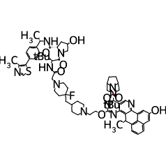 Cc1ncsc1-c1ccc([C@H](C)NC(=O)[C@@H]2C[C@@H](O)CN2C(=O)[C@@H](NC(=O)CN2CCC(F)(CC3CCN(CCOc4nc(N5CC6CCC(C5)N6C(=O)OC(C)(C)C)c5cnc6c(c5n4)C(C)c4cccc5cc(O)cc-6c45)CC3)CC2)C(C)(C)C)cc1